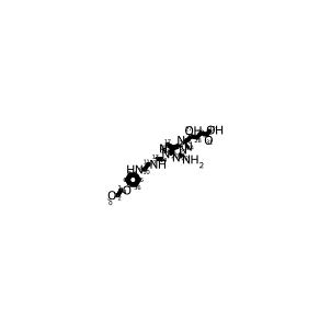 COCCOc1ccc(NCCNCCn2ncc3c2nc(N)n2nc(C(O)CCC(=O)O)nc32)cc1